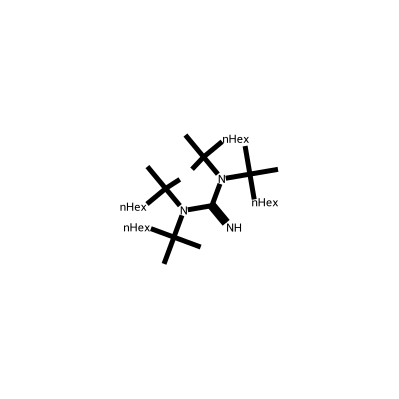 CCCCCCC(C)(C)N(C(=N)N(C(C)(C)CCCCCC)C(C)(C)CCCCCC)C(C)(C)CCCCCC